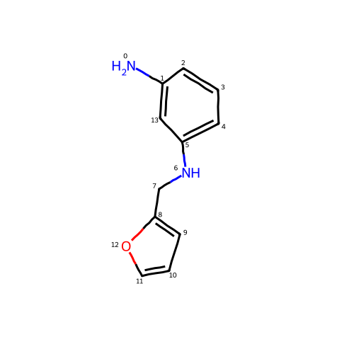 Nc1cccc(NCc2ccco2)c1